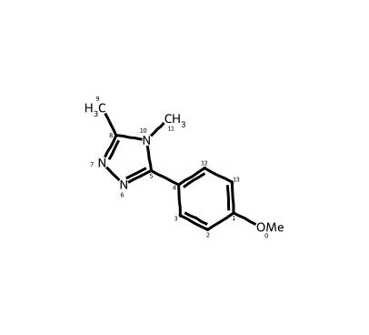 COc1ccc(-c2nnc(C)n2C)cc1